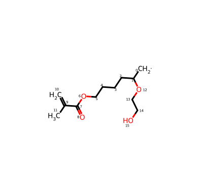 [CH2]C(CCCCOC(=O)C(=C)C)OCCO